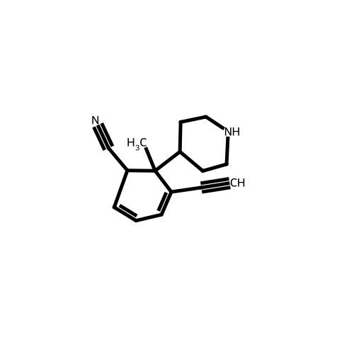 C#CC1=CC=CC(C#N)C1(C)C1CCNCC1